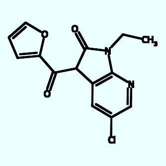 CCN1C(=O)C(C(=O)c2ccco2)c2cc(Cl)cnc21